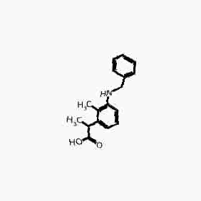 Cc1c(NCc2ccccc2)cccc1C(C)C(=O)O